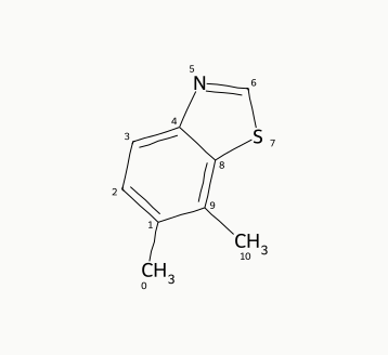 Cc1ccc2ncsc2c1C